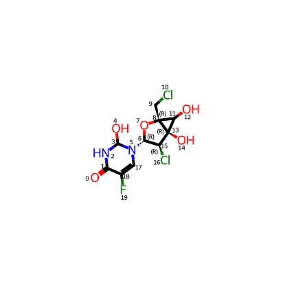 O=C1NC(O)N([C@@H]2O[C@]3(CCl)C(O)[C@]3(O)[C@H]2Cl)C=C1F